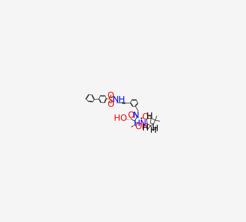 C[C@@H]1[C@@H](NC(=O)[C@@H]2[C@H]([C@H](C)O)[C@H](CO)ON2Cc2cccc(C#CCNS(=O)(=O)c3ccc(-c4ccccc4)cc3)c2)C[C@H]2C[C@@H]1C2(C)C